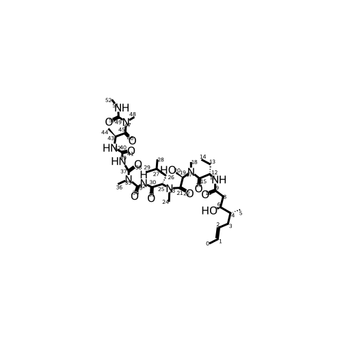 C/C=C/C[C@@H](C)[C@@H](O)CC(=O)N[C@@H](CC)C(=O)N(C)[C@H](O)C(=O)N(C)[C@@H](CC(C)C)C(=O)NC(=O)N(C)C(=O)NC(=O)N[C@@H](C)C(=O)N(C)C(=O)NC